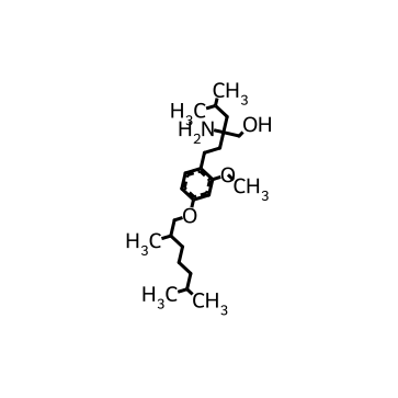 COc1cc(OCC(C)CCCC(C)C)ccc1CCC(N)(CO)CC(C)C